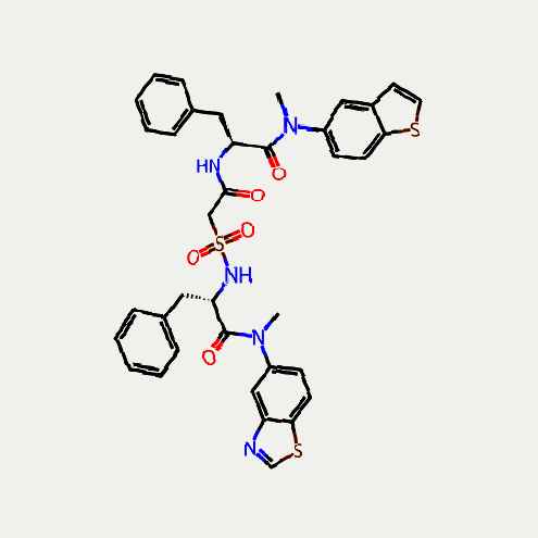 CN(C(=O)[C@H](Cc1ccccc1)NC(=O)CS(=O)(=O)N[C@@H](Cc1ccccc1)C(=O)N(C)c1ccc2scnc2c1)c1ccc2sccc2c1